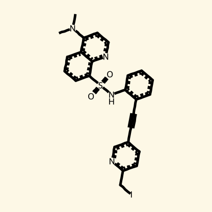 CN(C)c1ccnc2c(S(=O)(=O)Nc3ccccc3C#Cc3ccc(CI)nc3)cccc12